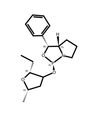 CC[C@H]1O[C@@H](C)CC1O[P@@]1O[C@H](c2ccccc2)[C@@H]2CCCN21